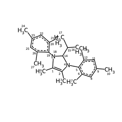 CC1=C(C)N(c2c(C)cc(C)cc2C)C(C(C)C)N1c1c(C)cc(C)cc1C